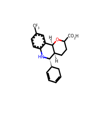 O=C(O)C1CC[C@@H]2[C@H](O1)c1cc(C(F)(F)F)ccc1N[C@H]2C1C=CC=CC1